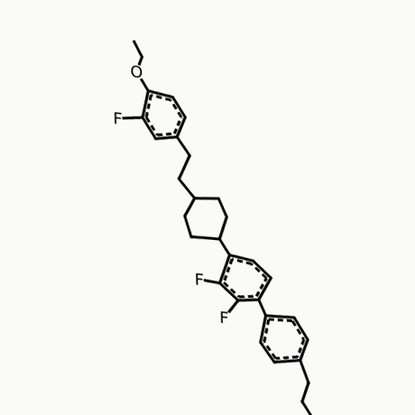 CCCc1ccc(-c2ccc(C3CCC(CCc4ccc(OCC)c(F)c4)CC3)c(F)c2F)cc1